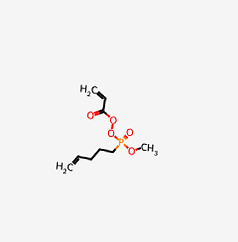 C=CCCCP(=O)(OC)OOC(=O)C=C